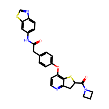 O=C(Cc1ccc(Oc2ccnc3c2SC(C(=O)N2CCC2)C3)cc1)Nc1ccc2ncsc2c1